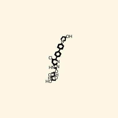 O[C@H]1CCN(c2ccc(-c3ccc(-c4nc5nc(O[C@@H]6CO[C@H]7[C@@H]6OC[C@H]7O)[nH]c5cc4Cl)cc3)cc2)C1